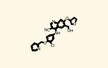 N#Cc1cnc2cc(OC3CCOC3)c(CO)cc2c1Nc1ccc(OCc2ccccn2)c(Cl)c1